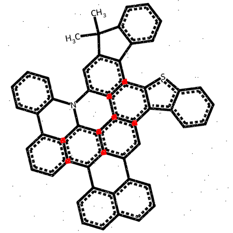 CC1(C)c2ccccc2-c2ccc(N(c3ccccc3-c3ccccc3)c3ccc(-c4cccc5cccc(-c6ccccc6)c45)cc3-c3ccc4sc5ccccc5c4c3)cc21